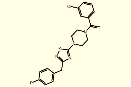 O=C(c1cccc(Cl)c1)N1CCN(c2nc(Cc3ccc(F)cc3)ns2)CC1